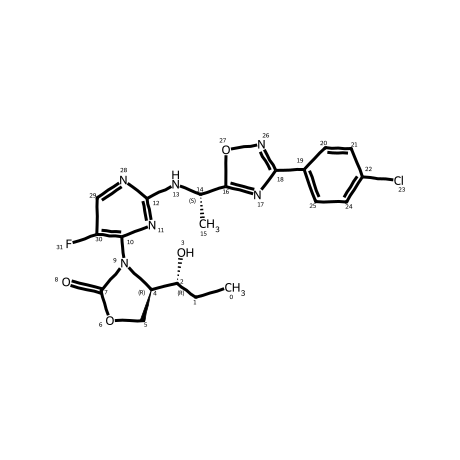 CC[C@@H](O)[C@H]1COC(=O)N1c1nc(N[C@@H](C)c2nc(-c3ccc(Cl)cc3)no2)ncc1F